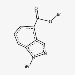 CC(C)n1ncc2c(C(=O)OBr)cccc21